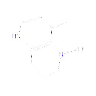 CCN1CCCC2=C1C(C)CCN2